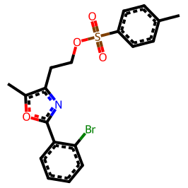 Cc1ccc(S(=O)(=O)OCCc2nc(-c3ccccc3Br)oc2C)cc1